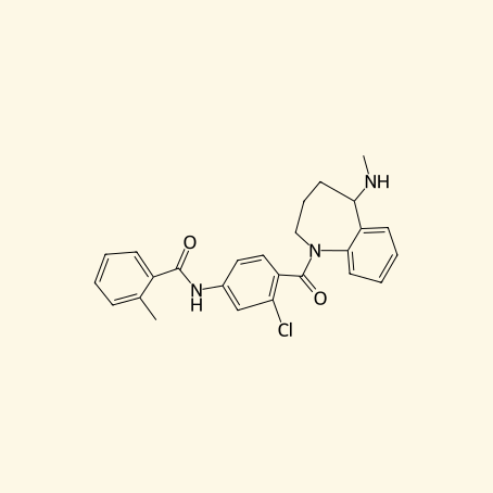 CNC1CCCN(C(=O)c2ccc(NC(=O)c3ccccc3C)cc2Cl)c2ccccc21